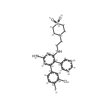 Nc1nc(NCCN2CCS(=O)(=O)CC2)c(-c2cncnc2)c(-c2ccc(F)c(Cl)c2)n1